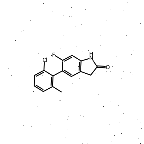 Cc1cccc(Cl)c1-c1cc2c(cc1F)NC(=O)C2